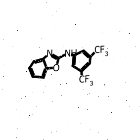 FC(F)(F)c1cc(Nc2nc3ccccc3o2)cc(C(F)(F)F)c1